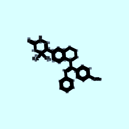 COc1ccc(C(=Nc2ccccc2)N2CCCc3cc(C4=NNC(=O)SC4(C)C)ccc32)cc1